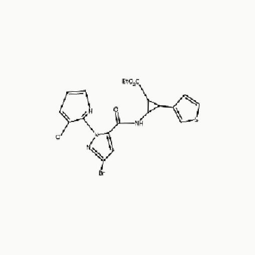 CCOC(=O)C1C(NC(=O)c2cc(Br)nn2-c2ncccc2Cl)C1c1ccsc1